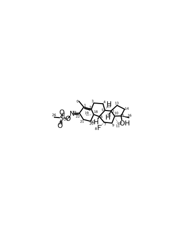 CC1=C2CC[C@@H]3[C@H]([C@@H](F)C[C@@]4(C)[C@H]3CC[C@]4(C)O)[C@@]2(C)CC/C1=N\OS(C)(=O)=O